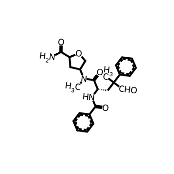 CN(C(=O)[C@H](CC(C)(C=O)c1ccccc1)NC(=O)c1ccccc1)C1COC(C(N)=O)C1